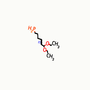 CCOC(/C=C/CCCP)OCC